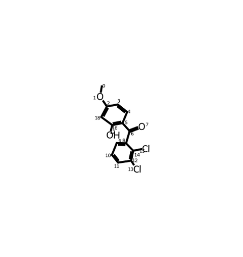 COc1ccc(C(=O)c2cccc(Cl)c2Cl)c(O)c1